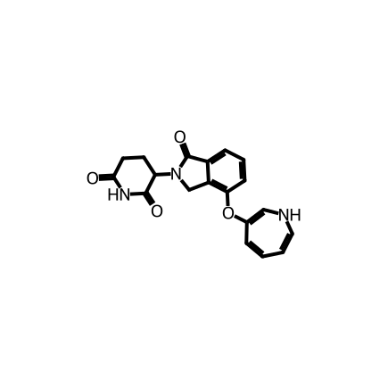 O=C1CCC(N2Cc3c(OC4=CNC=CC=C4)cccc3C2=O)C(=O)N1